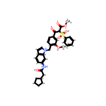 COC(=O)C(C(=O)c1ccc(Cn2ccc3ccc(NC(=O)CC4CCCC4)cc32)c(OC)c1)S(=O)(=O)c1ccccc1